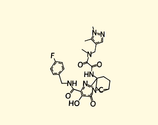 Cc1c(CN(C)C(=O)C(=O)NC23CCC(CC2)Cn2c3nc(C(=O)NCc3ccc(F)cc3)c(O)c2=O)cnn1C